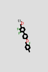 CCOCc1ccc(-c2ccc(OCc3ccc(C)cc3F)cc2)c(F)c1F